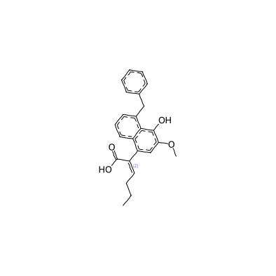 CCC/C=C(\C(=O)O)c1cc(OC)c(O)c2c(Cc3ccccc3)cccc12